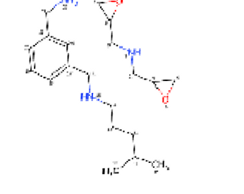 C(NCC1CO1)C1CO1.CC(C)CCCNCc1cccc(CN)c1